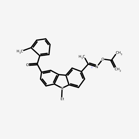 C=C(C)O/N=C(\C)c1ccc2c(c1)c1cc(C(=O)c3ccccc3C)ccc1n2CC